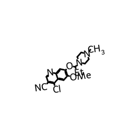 CCC(Oc1cc2ncc(C#N)c(Cl)c2cc1OC)N1CCN(C)CC1